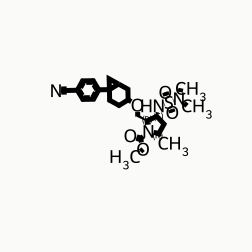 COC(=O)N1[C@H](C)C[C@H](NS(=O)(=O)N(C)C)[C@@H]1COC1CCC2(c3ccc(C#N)cc3)CC2C1